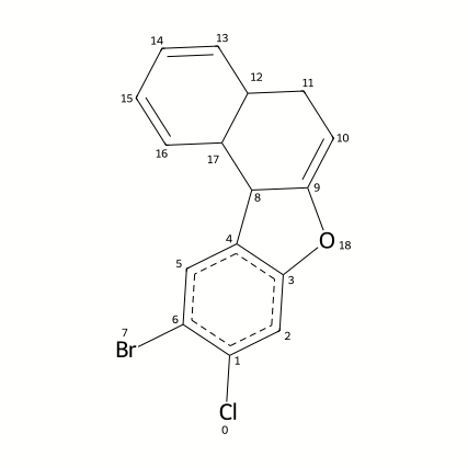 Clc1cc2c(cc1Br)C1C(=CCC3C=CC=CC31)O2